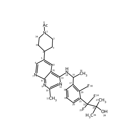 CC(=O)N1CCC(c2cnc3nc(C)nc(NC(C)c4cccc(C(F)(F)C(C)(C)O)c4F)c3c2)CC1